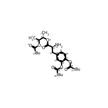 CCC(C)C(=O)OC(C)[C@H](C)OC(=O)[C@@H](N)Cc1ccc(OC(=O)C(C)(C)C)c(OC(=O)C(C)(C)C)c1